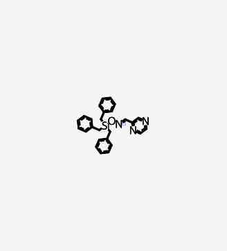 C(=N\O[Si](Cc1ccccc1)(Cc1ccccc1)Cc1ccccc1)/c1cnccn1